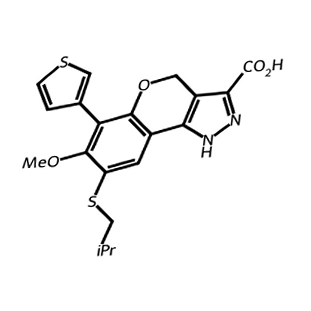 COc1c(SCC(C)C)cc2c(c1-c1ccsc1)OCc1c(C(=O)O)n[nH]c1-2